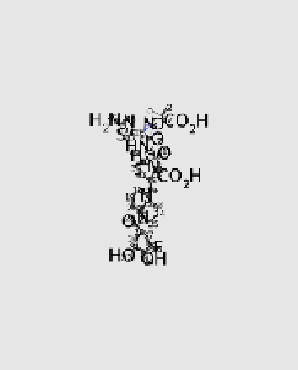 CC(C)(O/N=C(\C(=O)N[C@@H]1C(=O)N2C(C(=O)O)=C(C[n+]3cccc4c3CCCN4C(=O)c3cc(O)c(O)c(F)c3)CS[C@H]12)c1csc(N)n1)C(=O)O